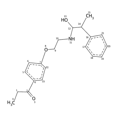 CCC(=O)c1ccc(OCCNC(O)C(C)c2ccccc2)cc1